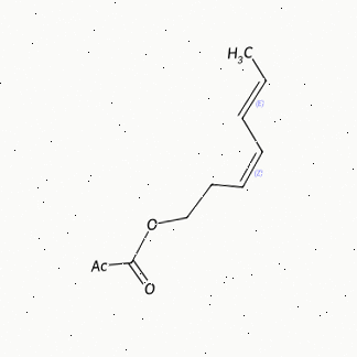 C/C=C/C=C\CCOC(=O)C(C)=O